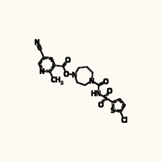 Cc1ncc(C#N)cc1C(=O)ON1CCCN(C(=O)NS(=O)(=O)c2ccc(Cl)s2)CC1